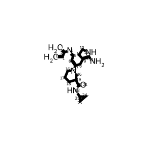 C=CC(=C)/N=C\C=C(/CC1=C(N)NCC1)N1CCCC(C(=O)NC2CC2)C1